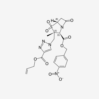 C=CCOC(=O)c1cn(C[C@@]2(C)[C@H](C(=O)OCc3ccc([N+](=O)[O-])cc3)N3C(=O)C[C@H]3S2(=O)=O)nn1